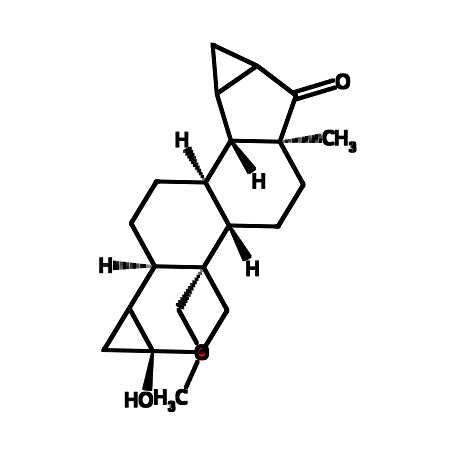 COC[C@]12CC[C@]3(O)CC3[C@H]1CC[C@@H]1[C@@H]2CC[C@]2(C)C(=O)C3CC3[C@@H]12